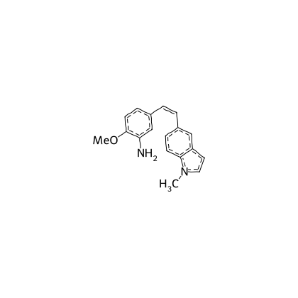 COc1ccc(/C=C\c2ccc3c(ccn3C)c2)cc1N